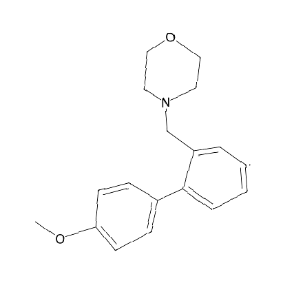 COc1ccc(-c2cc[c]cc2CN2CCOCC2)cc1